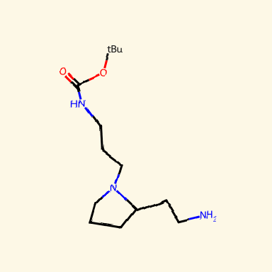 CC(C)(C)OC(=O)NCCCN1CCCC1CCN